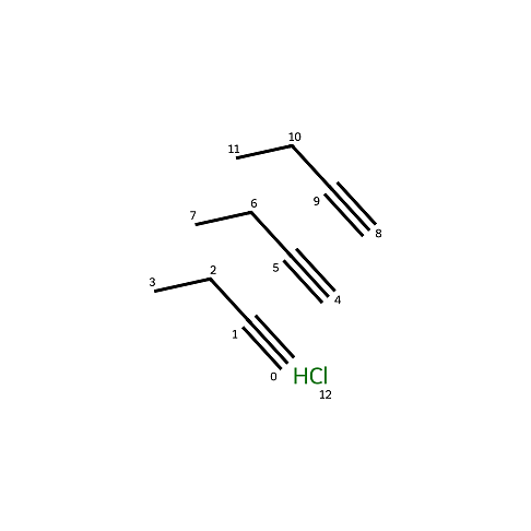 C#CCC.C#CCC.C#CCC.Cl